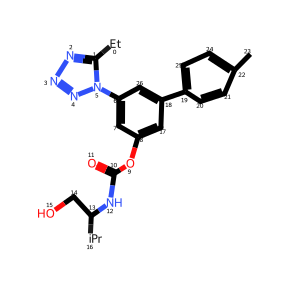 CCc1nnnn1-c1cc(OC(=O)NC(CO)C(C)C)cc(-c2ccc(C)cc2)c1